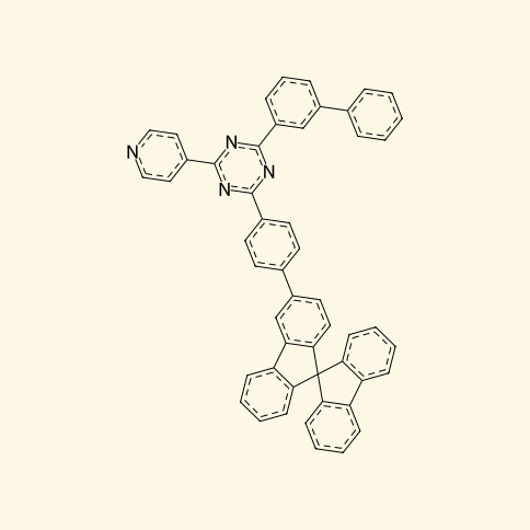 c1ccc(-c2cccc(-c3nc(-c4ccncc4)nc(-c4ccc(-c5ccc6c(c5)-c5ccccc5C65c6ccccc6-c6ccccc65)cc4)n3)c2)cc1